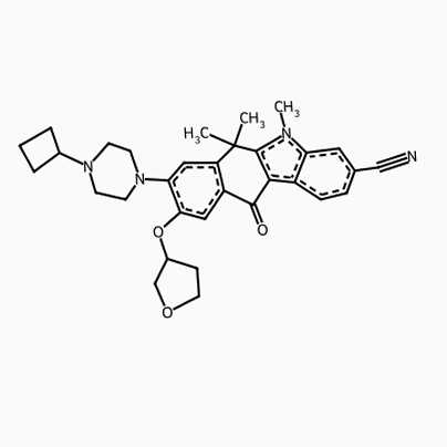 Cn1c2c(c3ccc(C#N)cc31)C(=O)c1cc(OC3CCOC3)c(N3CCN(C4CCC4)CC3)cc1C2(C)C